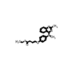 CCOC(=O)CCCOc1ccc(N(C)c2nc(C)nc3ccccc23)cc1